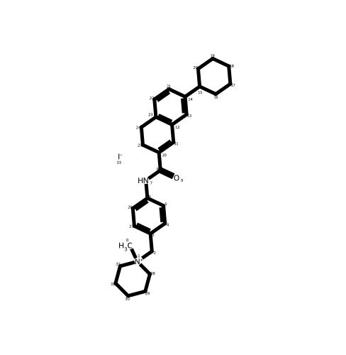 C[N+]1(Cc2ccc(NC(=O)C3=Cc4cc(C5CCCCC5)ccc4CC3)cc2)CCCCC1.[I-]